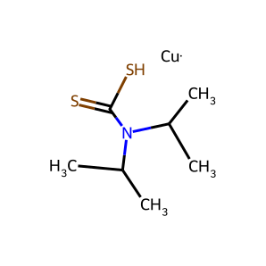 CC(C)N(C(=S)S)C(C)C.[Cu]